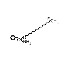 CC(F)CCCCCCCCCCCCCCOCC(CN)OCc1ccccc1